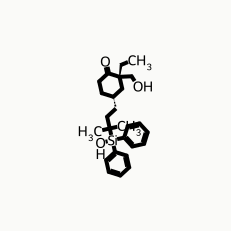 CC[C@@]1(CO)C[C@H](CCC(C)(C)[Si](O)(c2ccccc2)c2ccccc2)CCC1=O